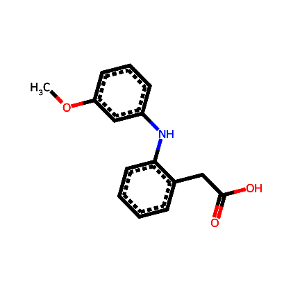 COc1cccc(Nc2ccccc2CC(=O)O)c1